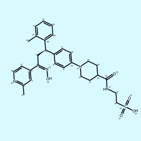 Cc1cc(C(C[C@H](c2ccc(N3CCC(C(=O)NCCS(=O)(=O)O)CC3)cc2)c2ccccc2C)=NO)ccn1